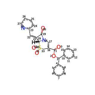 O=C(OC(c1ccccc1)c1ccccc1)C1=CN2C(=O)C(=Cc3ccccn3)[C@H]2S(=O)(=O)C1